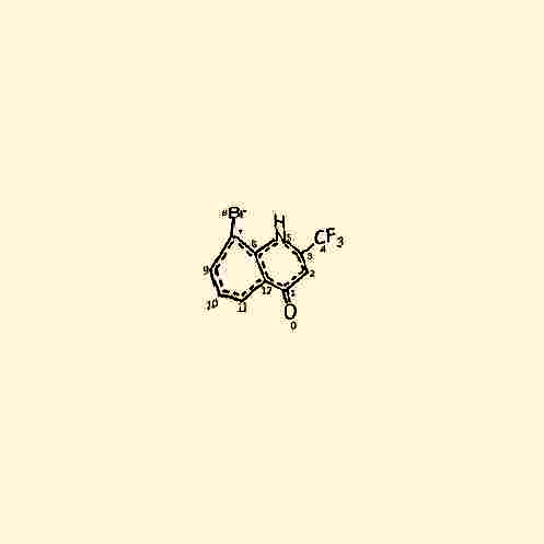 O=c1cc(C(F)(F)F)[nH]c2c(Br)cccc12